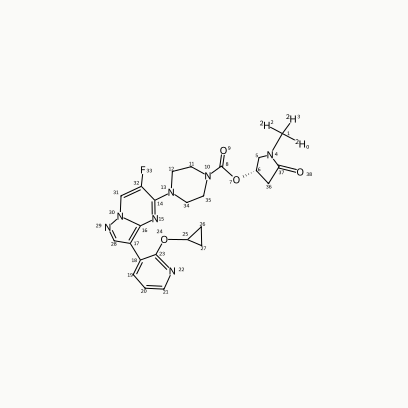 [2H]C([2H])([2H])N1C[C@@H](OC(=O)N2CCN(c3nc4c(-c5cccnc5OC5CC5)cnn4cc3F)CC2)CC1=O